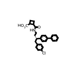 O=C(O)C1CCC1C(=O)NCC[C@@H](Cc1ccc(Cl)cc1)c1ccc(-c2ccccc2)cc1